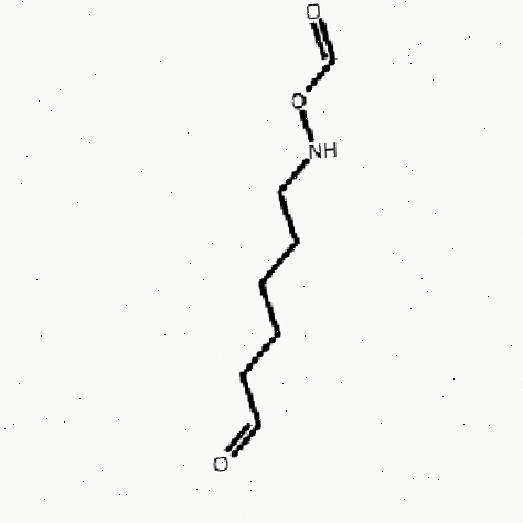 O=CCCCCCNOC=O